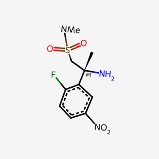 CNS(=O)(=O)C[C@](C)(N)c1cc([N+](=O)[O-])ccc1F